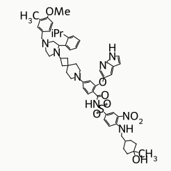 COc1ccc(CN2CCN(C3CC4(CCN(c5ccc(C(=O)NS(=O)(=O)c6ccc(NCC7CCC(C)(O)CC7)c([N+](=O)[O-])c6)c(Oc6cnc7[nH]ccc7c6)c5)CC4)C3)C(c3ccccc3C(C)C)C2)cc1C